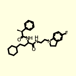 C[C@H](C(=O)NC(CCC1CCCCC1)C(=O)NCCN1CCc2cc(F)ccc21)c1ccccc1